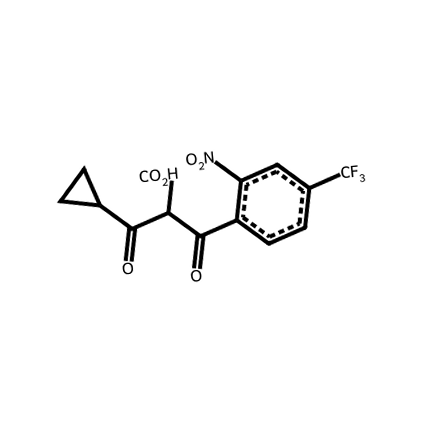 O=C(O)C(C(=O)c1ccc(C(F)(F)F)cc1[N+](=O)[O-])C(=O)C1CC1